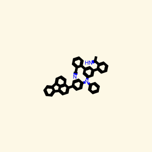 CC(=N)c1ccccc1-c1cc(-c2ccccc2C#N)cc(N(c2ccccc2)c2ccc(-c3ccc4c5c(cccc35)-c3ccccc3-4)cc2)c1